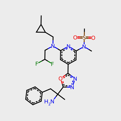 CC1CC1CN(CC(F)F)c1cc(-c2nnc(C(C)(N)Cc3ccccc3)o2)cc(N(C)S(C)(=O)=O)n1